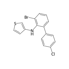 Clc1ccc(-c2cccc(Br)c2Nc2ccsc2)cc1